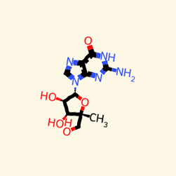 C[C@]1(CO)O[C@@H](n2cnc3c(=O)[nH]c(N)nc32)[C@H](O)[C@@H]1O